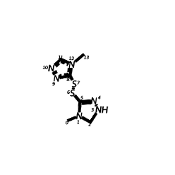 CN1CNN=C1SSc1nncn1C